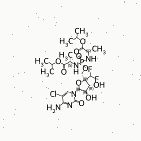 CC(C)OC(=O)[C@H](C)NP(=O)(N[C@@H](C)C(=O)OC(C)C)OC[C@@]1(C(F)F)O[C@@H](n2cc(Cl)c(N)nc2=O)[C@H](O)[C@H]1O